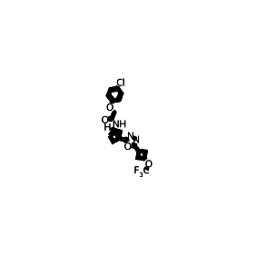 O=C(COc1ccc(Cl)cc1)N[C@@H]1CC2(c3nnc(C4CC(OC(F)(F)F)C4)o3)CC1C2